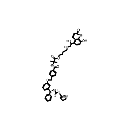 CC(C)(NC(=O)c1ccc(COc2cccc([C@@H](NC(=O)OC3CN4CCC3CC4)c3ccccc3)c2)cc1)C(=O)OCCCCNCC(O)c1ccc(O)c2[nH]c(=O)ccc12